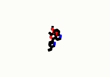 C=CC1CN2CCC1CC2[C@@H](OC(C)C(=O)O)c1ccnc2ccc(OC)cc12